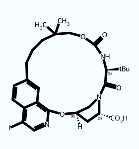 CC1(C)CCCc2ccc3c(I)cnc(c3c2)O[C@@H]2C[C@@H](C(=O)O)N(C2)C(=O)[C@H](C(C)(C)C)NC(=O)OC1